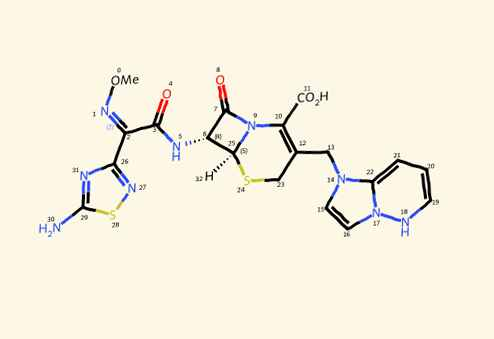 CO/N=C(\C(=O)N[C@@H]1C(=O)N2C(C(=O)O)=C(CN3C=CN4NC=CC=C34)CS[C@@H]12)c1nsc(N)n1